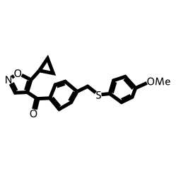 COc1ccc(SCc2ccc(C(=O)c3cnoc3C3CC3)cc2)cc1